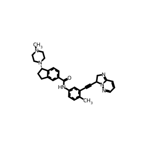 Cc1ccc(NC(=O)c2ccc3c(c2)CC[C@@H]3N2CCN(C)CC2)cc1C#CC1CN=C2C=CC=NN21